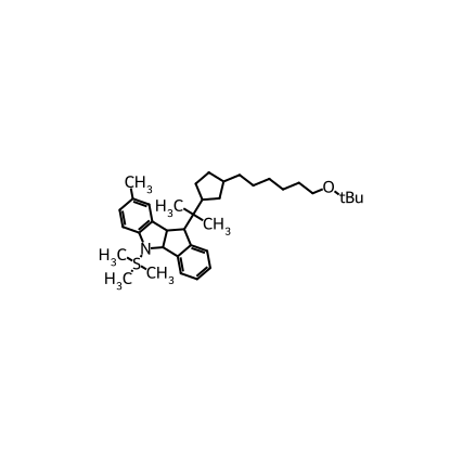 Cc1ccc2c(c1)C1C(c3ccccc3C1C(C)(C)C1CCC(CCCCCCOC(C)(C)C)C1)N2S(C)(C)C